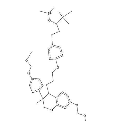 COCOc1ccc(C2(C)COc3cc(OCOC)ccc3C2CCCOc2ccc(CCC(O[SiH](C)C)C(C)(C)C)cc2)cc1